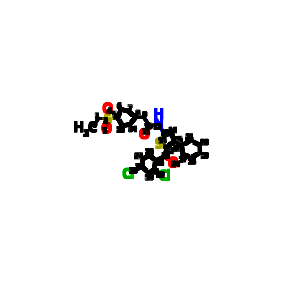 CCS(=O)(=O)c1ccc(CC(=O)Nc2cc(-c3ccccc3)c(C(=O)c3ccc(Cl)cc3Cl)s2)cc1